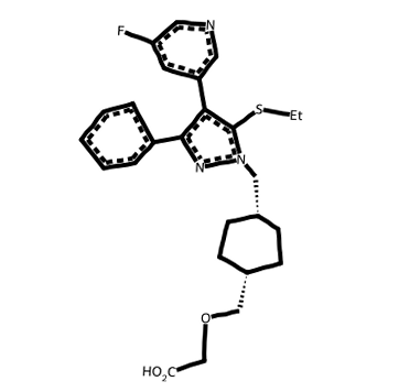 CCSc1c(-c2cncc(F)c2)c(-c2ccccc2)nn1C[C@H]1CC[C@@H](COCC(=O)O)CC1